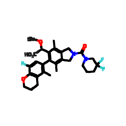 Cc1c(-c2c(C)c3c(c(C)c2[C@H](OC(C)(C)C)C(=O)O)CN(C(=O)N2CCCC(F)(F)C2)C3)cc(F)c2c1CCCO2